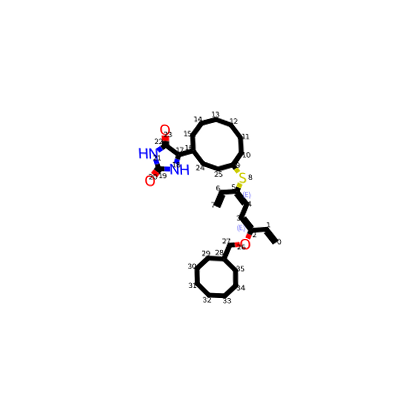 C=C/C(=C\C=C(/C=C)SC1CCCCCCC(C2NC(=O)NC2=O)CC1)OCC1CCCCCCC1